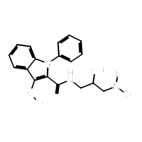 CCOc1c(C(=O)NCC(O)CN(CC)CC)n(-c2ccccc2)c2ccccc12